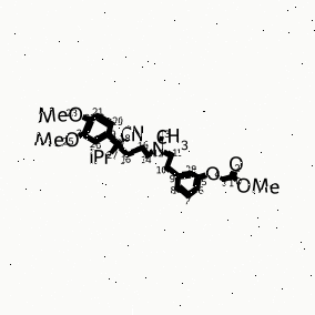 COC(=O)COc1cccc(CCN(C)CCCC(C#N)(c2ccc(OC)c(OC)c2)C(C)C)c1